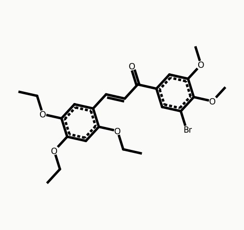 CCOc1cc(OCC)c(OCC)cc1C=CC(=O)c1cc(Br)c(OC)c(OC)c1